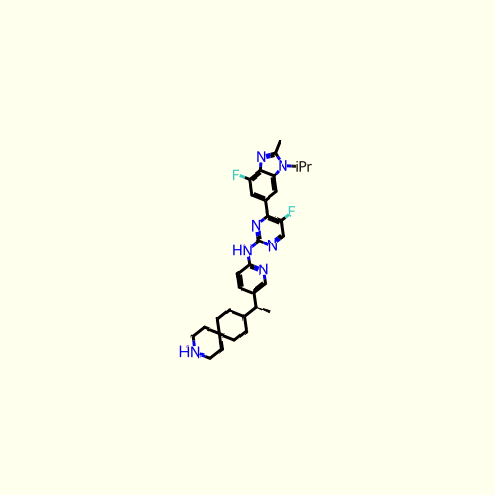 Cc1nc2c(F)cc(-c3nc(Nc4ccc([C@@H](C)C5CCC6(CCNCC6)CC5)cn4)ncc3F)cc2n1C(C)C